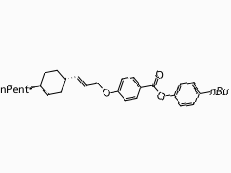 CCCCC[C@H]1CC[C@H](C=CCOc2ccc(C(=O)Oc3ccc(CCCC)cc3)cc2)CC1